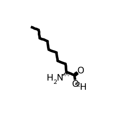 [2H]OC(=O)[C@H](N)CCCCCCCC